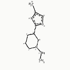 CBN1CCCC(c2nc(C)co2)C1